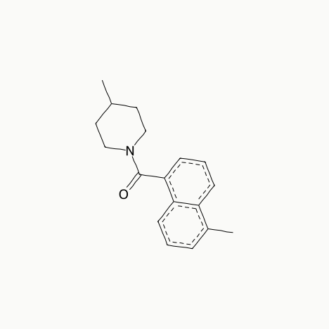 Cc1cccc2c(C(=O)N3CCC(C)CC3)cccc12